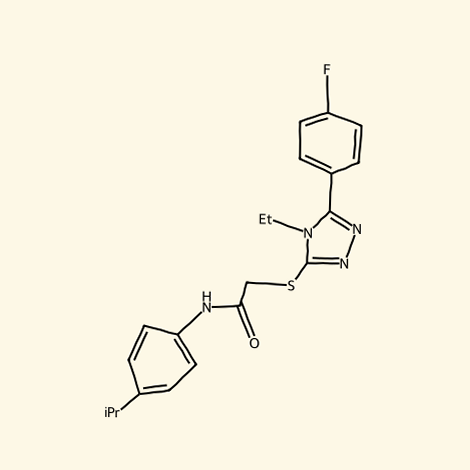 CCn1c(SCC(=O)Nc2ccc(C(C)C)cc2)nnc1-c1ccc(F)cc1